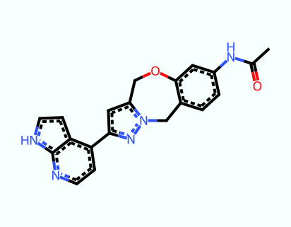 CC(=O)Nc1ccc2c(c1)OCc1cc(-c3ccnc4[nH]ccc34)nn1C2